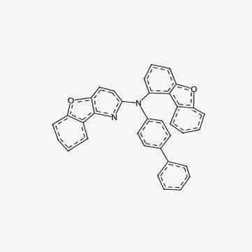 c1ccc(-c2ccc(N(c3ccc4oc5ccccc5c4n3)c3cccc4oc5ccccc5c34)cc2)cc1